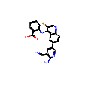 N=Cc1cc(-c2ccc3ncc(S)c(Nc4ccccc4C(=O)O)c3c2)cnc1N